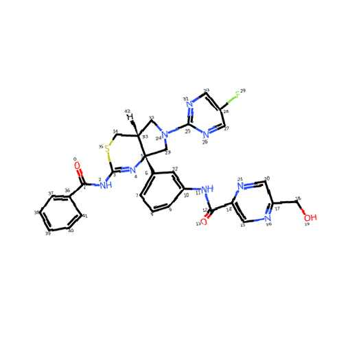 O=C(NC1=N[C@@]2(c3cccc(NC(=O)c4cnc(CO)cn4)c3)CN(c3ncc(F)cn3)C[C@H]2CS1)c1ccccc1